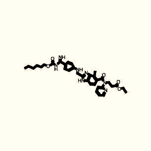 CCCCCCOC(=O)NC(=N)c1ccc(NCc2nc3c(C)c(C(=O)N(CCC(=O)OCC)c4ccccn4)ccc3[nH]2)cc1